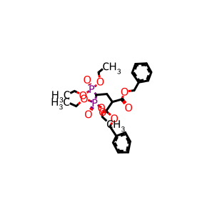 CCOP(=O)(OCC)C(CC(C(=O)OCc1ccccc1)C(=O)OCc1ccccc1)P(=O)(OCC)OCC